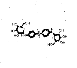 O=S(=O)(c1ccc(NC2O[C@H](CO)[C@H](O)[C@H](O)[C@H]2O)cc1)c1ccc(NC2O[C@H](CO)[C@H](O)[C@H](O)[C@H]2O)cc1